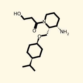 CC(C)[C@H]1CC[C@@H](OC[C@H]2[C@@H](N)CCCN2C(=O)CCO)CC1